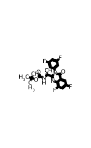 C[C@H](NC(=O)OC(C)(C)C)c1nc2c(F)cc(F)cc2c(=O)n1-c1cc(F)cc(F)c1